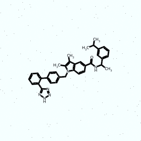 Cc1c(C)n(Cc2ccc(-c3ccccc3-c3nn[nH]n3)cc2)c2ccc(C(=O)NC(C)c3cccc(C(C)C)c3)cc12